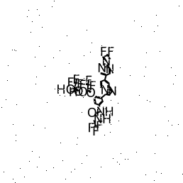 O=C(NCC(F)(F)F)Nc1cccc(-c2cnc3cc(-c4cnc(N5CC(F)(F)C5)nc4)ccn23)c1.O=C(O)C(F)(F)F.O=C(O)C(F)(F)F